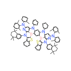 Cc1ccccc1N(c1cc2c3c(n1)N(c1ccc4c(c1)C(C)(C)CCC4(C)C)c1c(sc4ccccc14)B3c1cc3c(cc1N2c1ccccc1)N(c1ccccc1)c1cc(N(c2ccccc2C)c2c(C)cccc2C)nc2c1B3c1sc3ccccc3c1N2c1ccc2c(c1)C(C)(C)CCC2(C)C)c1c(C)cccc1C